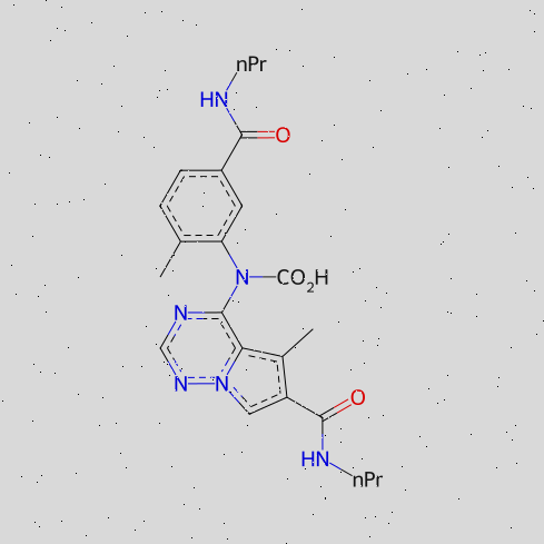 CCCNC(=O)c1ccc(C)c(N(C(=O)O)c2ncnn3cc(C(=O)NCCC)c(C)c23)c1